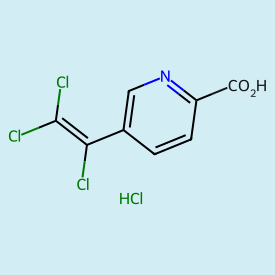 Cl.O=C(O)c1ccc(C(Cl)=C(Cl)Cl)cn1